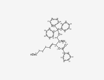 CCCCCCCCCCCCCC=CC(OC(=O)c1ccccc1)C(N)COC(c1ccccc1)(c1ccccc1)c1ccccc1